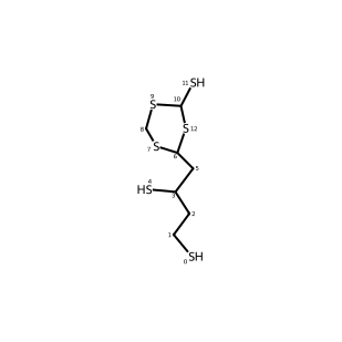 SCCC(S)CC1SCSC(S)S1